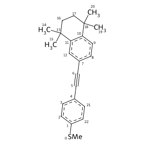 CSc1ccc(C#Cc2ccc3c(c2)C(C)(C)CCC3(C)C)cc1